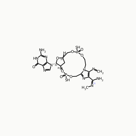 C=Nc1c(/C(N)=N\C)nc2n1CCOP(=O)(S)OC[C@@H]1C[C@@H](OP(=O)(S)OC2)[C@H](n2cnc3c(=O)[nH]c(N)nc32)O1